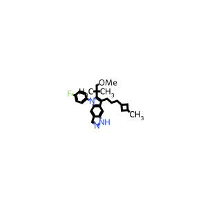 COCC(C)(C)c1c(CCCC2CC(C)C2)c2cc3[nH]ncc3cc2n1-c1ccc(F)cc1